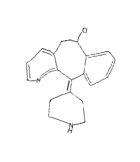 ClC1Cc2cccnc2C(=C2CCNCC2)c2ccccc21